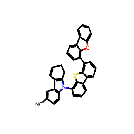 N#Cc1ccc2c(c1)c1c(n2-c2cccc3c2sc2c(-c4cccc5c4oc4ccccc45)cccc23)CCC=C1